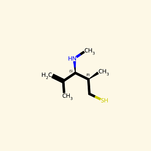 C=C(C)[C@@H](NC)[C@@H](C)CS